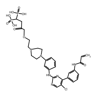 C=CC(=O)Nc1cccc(-c2nc(Nc3cccc(N4CCN(CCOCC(=O)CC(P(=O)(O)O)P(=O)(O)O)CC4)c3)ncc2Cl)c1